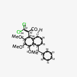 COc1c(OC)c(OC)c2c(Cc3ccccc3)cccc2c1C(C(=O)O)=C(Cl)Cl